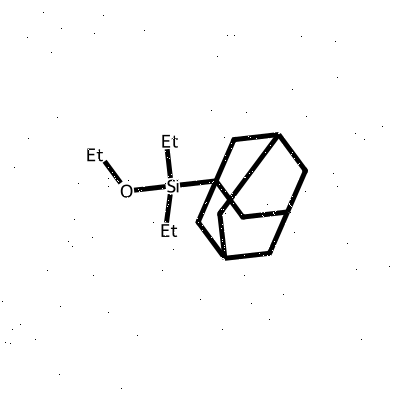 CCO[Si](CC)(CC)C12CC3CC(CC(C3)C1)C2